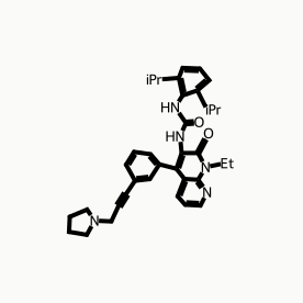 CCn1c(=O)c(NC(=O)Nc2c(C(C)C)cccc2C(C)C)c(-c2cccc(C#CCN3CCCC3)c2)c2cccnc21